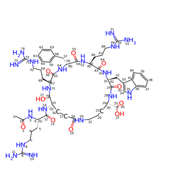 CC(=O)N[C@@H](CCCNC(=N)N)C(=O)N[C@H]1CCC(=O)NCCC[C@@H](C(=O)O)NC(=O)[C@H](Cc2c[nH]c3ccccc23)NC(=O)[C@H](CCCNC(=N)N)NC(=O)[C@@H](Cc2ccccc2)NC(=O)[C@H](CCCNC(=N)N)NC1O